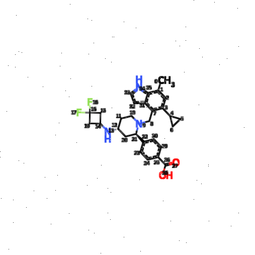 Cc1cc(C2CC2)c(CN2CC[C@@H](NC3CC(F)(F)C3)C[C@@H]2c2ccc(C(=O)O)cc2)c2cc[nH]c12